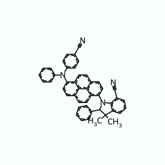 CC1(C)c2cccc(C#N)c2N(c2ccc3ccc4c(N(c5ccccc5)c5ccc(C#N)cc5)ccc5ccc2c3c54)C1c1ccccc1